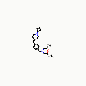 CC1CN(Cc2ccc(C=C3CCN(C4CCC4)CC3)cc2)CC(C)O1